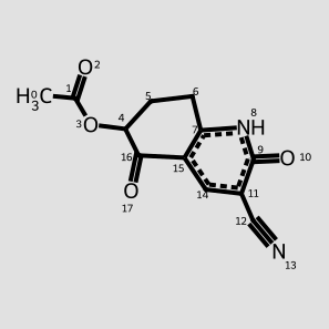 CC(=O)OC1CCc2[nH]c(=O)c(C#N)cc2C1=O